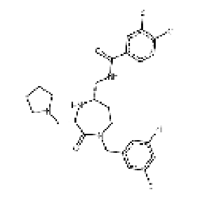 O=C(NC[C@@H]1CCN(Cc2cc(Cl)cc(Cl)c2)C(=O)[C@H](CN2CCCC2)N1)c1ccc(Cl)c(Cl)c1